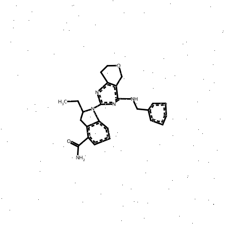 CCC1Cc2c(C(N)=O)cccc2N1c1nc2c(c(NCc3ccccc3)n1)COCC2